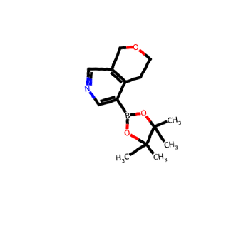 CC1(C)OB(c2cncc3c2CCOC3)OC1(C)C